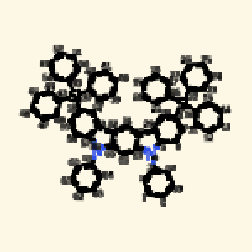 c1ccc(-n2c3ccc([Si](c4ccccc4)(c4ccccc4)c4ccccc4)cc3c3cc4c5cc([Si](c6ccccc6)(c6ccccc6)c6ccccc6)ccc5n(-c5ccccc5)c4cc32)cc1